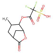 CC1CC2CC(OC2=O)C1OC(=O)C(F)(F)S(=O)(=O)O